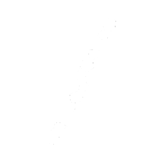 Fc1c(-c2cc3cc4c(cc3s2)sc2c3cc5cc(-c6sc7ccccc7c6F)sc5cc3sc42)sc2ccccc12